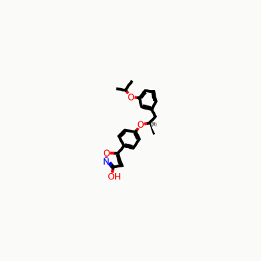 CC(C)Oc1cccc(C[C@@H](C)Oc2ccc(-c3cc(O)no3)cc2)c1